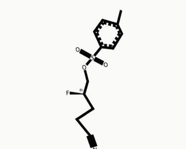 Cc1ccc(S(=O)(=O)OC[C@H](F)CCC#N)cc1